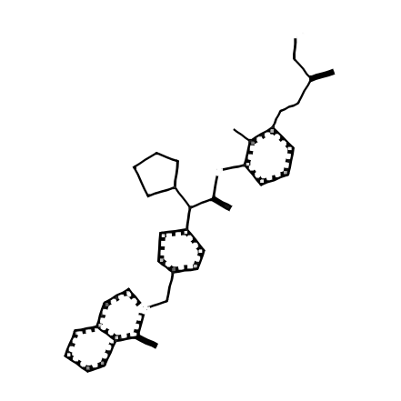 C=C(CCc1cccc(NC(=O)C(c2ccc(Cn3ccc4ccccc4c3=O)cc2)C2CCCC2)c1C)CC(C)(C)C